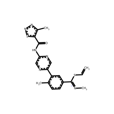 C=CS/C(=N\C)c1ccc(C)c(-c2cnc(NC(=O)c3snnc3C)cn2)c1